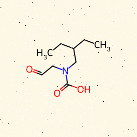 CCC(CC)CN(CC=O)C(=O)O